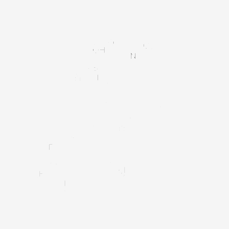 O=[N+]([O-])c1cc(-c2ccccc2)c(Oc2ccc(C(F)(F)F)cc2Cl)cc1[PH](=O)O